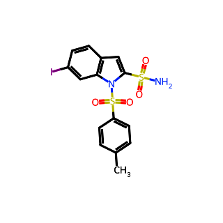 Cc1ccc(S(=O)(=O)n2c(S(N)(=O)=O)cc3ccc(I)cc32)cc1